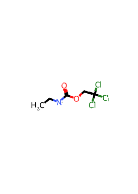 CC[N]C(=O)OCC(Cl)(Cl)Cl